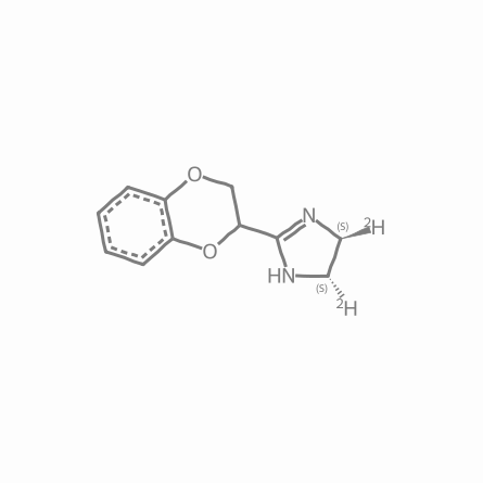 [2H][C@@H]1N=C(C2COc3ccccc3O2)N[C@H]1[2H]